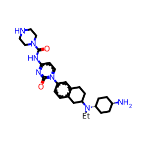 CCN(C1CCc2cc(-n3ccc(NC(=O)N4CCNCC4)nc3=O)ccc2C1)[C@H]1CC[C@H](N)CC1